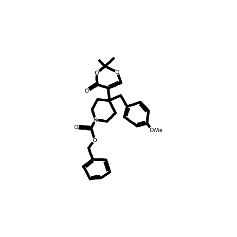 COc1ccc(CC2(C3=COC(C)(C)OC3=O)CCN(C(=O)OCc3ccccc3)CC2)cc1